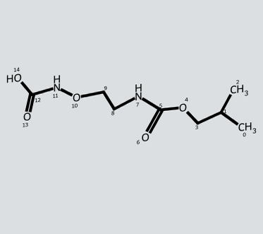 CC(C)COC(=O)NCCONC(=O)O